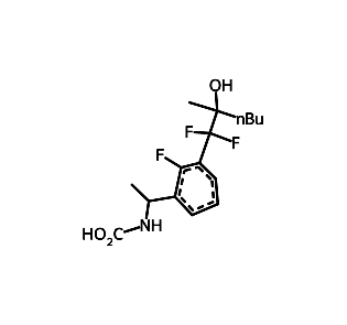 CCCCC(C)(O)C(F)(F)c1cccc(C(C)NC(=O)O)c1F